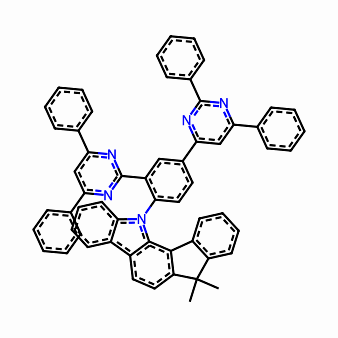 CC1(C)c2ccccc2-c2c1ccc1c3ccccc3n(-c3ccc(-c4cc(-c5ccccc5)nc(-c5ccccc5)n4)cc3-c3nc(-c4ccccc4)cc(-c4ccccc4)n3)c21